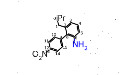 CC(C)Cc1cccc(N)c1-c1ccc([N+](=O)[O-])cc1